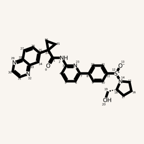 O=C(Nc1cccc(-c2ccc([S+]([O-])N3CCC[C@@H]3CO)cc2)n1)C1(c2ccc3nccnc3c2)CC1